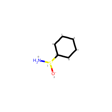 N[S+]([O-])C1CCCCC1